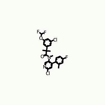 Cc1cc(F)ccc1-c1cc(Cl)ncc1N(C)C(=O)C(C)(C)c1cc(Cl)cc(OC(F)F)c1